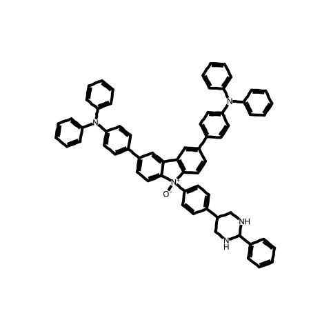 [O-][N+]1(c2ccc(C3CNC(c4ccccc4)NC3)cc2)c2ccc(-c3ccc(N(c4ccccc4)c4ccccc4)cc3)cc2-c2cc(-c3ccc(N(c4ccccc4)c4ccccc4)cc3)ccc21